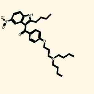 CCCCc1[nH]c2ccc([N+](=O)[O-])cc2c1C(=O)c1ccc(OCCCN(CCCC)CCCC)cc1